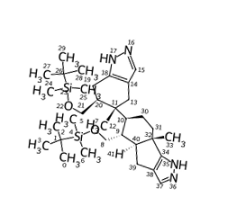 CC(C)(C)[Si](C)(C)OC[C@@H]1[C@@H]([C@@]2(C)Cc3cn[nH]c3C[C@@H]2CO[Si](C)(C)C(C)(C)C)CC[C@]2(C)c3[nH]ncc3C[C@@H]12